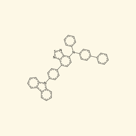 c1ccc(-c2ccc(N(c3ccccc3)c3ccc(-c4ccc(-n5c6ccccc6c6ccccc65)cc4)c4nsnc34)cc2)cc1